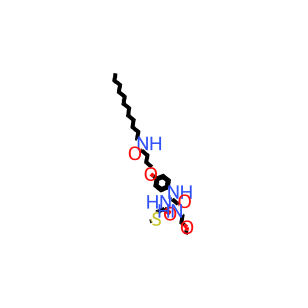 CCCCCCCCCCCCNC(=O)CCCOc1ccc(NC(NC(=O)CSC)C(=O)NCCOC)cc1